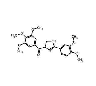 COc1ccc(C2=NC(C(=O)c3cc(OC)c(OC)c(OC)c3)CN2)cc1OC